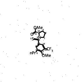 CCCc1cc(C(=S)N2CCC[C@@H]2C(=O)OC)cc(C(F)(F)F)c1OC